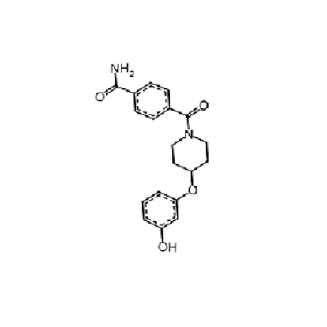 NC(=O)c1ccc(C(=O)N2CCC(Oc3cccc(O)c3)CC2)cc1